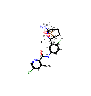 Cc1cc(Cl)cnc1C(=O)Nc1ccc(F)c([C@@]2(C)N=C(N)[C@@]3(C)CC[C@@H]2S3(O)O)c1